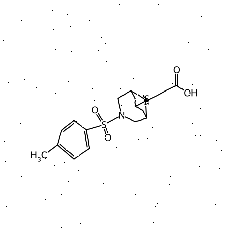 Cc1ccc(S(=O)(=O)N2CC3CC(C(=O)O)CC(C2)C32SCCS2)cc1